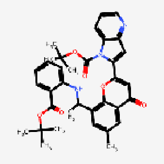 Cc1cc(C(C)Nc2ccccc2C(=O)OC(C)(C)C)c2oc(-c3cc4ncccc4n3C(=O)OC(C)(C)C)cc(=O)c2c1